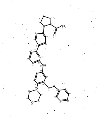 NC(=O)C1CCCN1c1ccc(-c2ccnc(Nc3ccc(N4CCOCC4)c(OCc4ccccc4)c3)n2)cc1